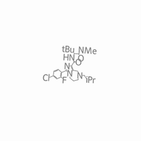 CNC(=O)C(NC(=O)c1nc(-c2ccc(Cl)cc2F)n2c1CN(CC(C)C)CCC2)C(C)(C)C